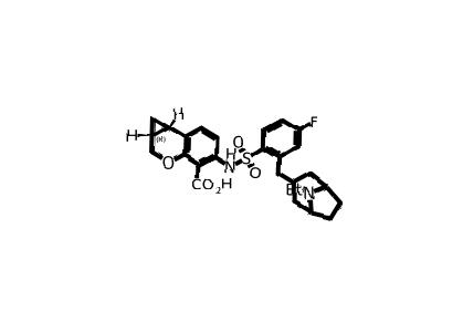 CCN1C2CCC1CC(Cc1cc(F)ccc1S(=O)(=O)Nc1ccc3c(c1C(=O)O)OC[C@@H]1C[C@H]31)C2